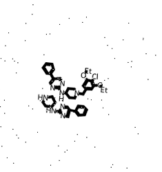 CCOc1cc(CN2CCC(Nc3ncc(-c4ccccc4)cn3)CC2)cc(OCC)c1Cl.c1ccc(-c2cnc(NC3CCNCC3)nc2)cc1